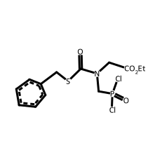 CCOC(=O)CN(CP(=O)(Cl)Cl)C(=O)SCc1ccccc1